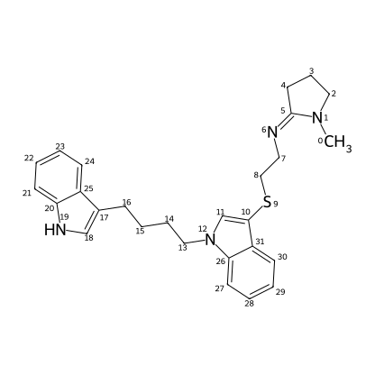 CN1CCCC1=NCCSc1cn(CCCCc2c[nH]c3ccccc23)c2ccccc12